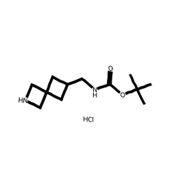 CC(C)(C)OC(=O)NCC1CC2(CNC2)C1.Cl